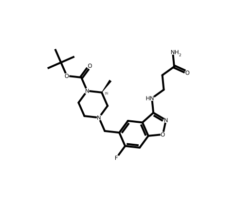 C[C@H]1CN(Cc2cc3c(NCCC(N)=O)noc3cc2F)CCN1C(=O)OC(C)(C)C